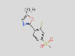 CCOC(=O)c1cnc(-c2ccc(S(C)(=O)=O)cc2F)o1